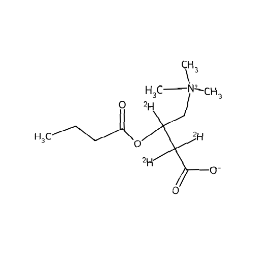 [2H]C(C[N+](C)(C)C)(OC(=O)CCC)C([2H])([2H])C(=O)[O-]